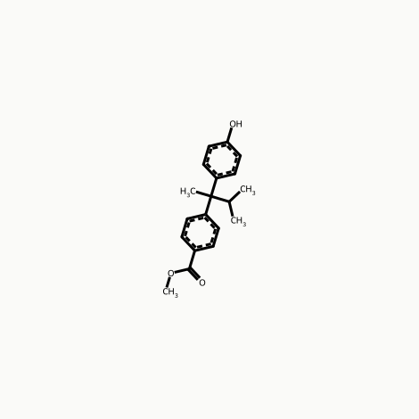 COC(=O)c1ccc(C(C)(c2ccc(O)cc2)C(C)C)cc1